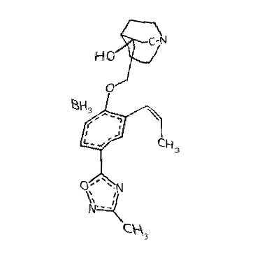 B.C/C=C\c1cc(-c2nc(C)no2)ccc1OCC1(O)CN2CCC1CC2